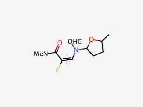 CNC(=O)/C(F)=C\N(C=O)C1CCC(C)O1